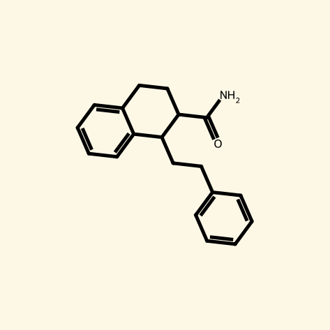 NC(=O)C1CCc2ccccc2C1CCc1ccccc1